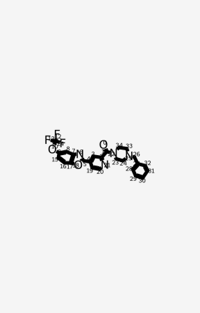 O=C(c1cc(-c2nc3cc(OC(F)(F)F)ccc3o2)ccn1)N1CCN(Cc2ccccc2)CC1